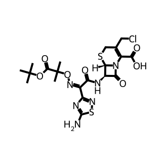 CC(C)(C)OC(=O)C(C)(C)O/N=C(\C(=O)N[C@@H]1C(=O)N2C(C(=O)O)=C(CCl)CS[C@@H]12)c1nsc(N)n1